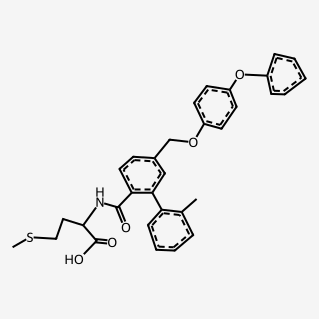 CSCCC(NC(=O)c1ccc(COc2ccc(Oc3ccccc3)cc2)cc1-c1ccccc1C)C(=O)O